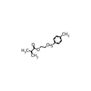 C=C(C)C(=O)OCCOSc1ccc(C)cc1